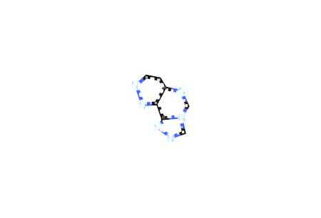 c1cc2ncn3cnnc3c2nn1